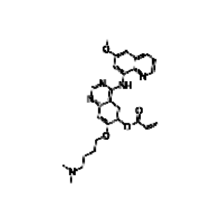 C=CC(=O)Oc1cc2c(Nc3cc(OC)cc4cccnc34)ncnc2cc1OCCCCN(C)C